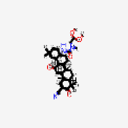 COC(CN(C)C(=O)N[C@]12CCC(C)(C)C[C@H]1[C@H]1C(=O)C=C3[C@@]4(C)C=C(C#N)C(=O)C(C)(C)[C@@H]4CC[C@@]3(C)[C@]1(C)CC2)OC